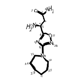 NC(=O)C[C@H](N)c1nc(N2CCCCCC2)no1